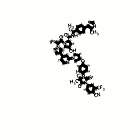 Cc1ncsc1-c1ccc([C@H](C)NC(=O)[C@@H]2C[C@@H](O)CN2C(=O)C(C(C)C)n2cc(-c3ccnc(N4CC[C@H](Oc5ccc(N6C(=S)N(c7ccc(C#N)c(C(F)(F)F)c7)C(=O)C6(C)C)cc5)C4)c3)cn2)cc1